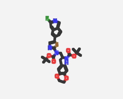 CC(C)(C)OC(=O)N[C@@H](Cc1ccc2c(c1)OCCO2)CN(C(=O)OC(C)(C)C)c1ncc(-c2ccc3cnc(F)cc3c2)s1